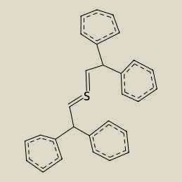 C(=S=CC(c1ccccc1)c1ccccc1)C(c1ccccc1)c1ccccc1